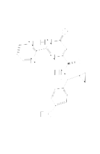 O=C(N[C@@H](c1ccc(C(F)(F)F)cc1)C1CC1)c1cc(=O)[nH]c(-c2ncccn2)n1